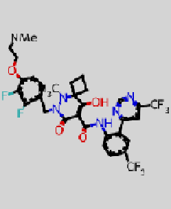 CNCCOc1ccc(CN2C(=O)C(C(=O)Nc3ccc(C(F)(F)F)cc3-c3cc(C(F)(F)F)ncn3)=C(O)C3(CCC3)N2C)c(F)c1F